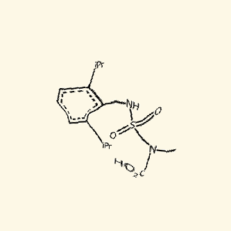 CC(C)c1cccc(C(C)C)c1NS(=O)(=O)N(C)C(=O)O